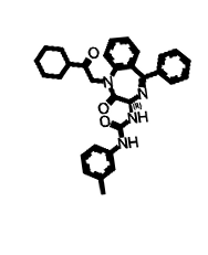 Cc1cccc(NC(=O)N[C@@H]2N=C(c3ccccc3)c3ccccc3N(CC(=O)C3CCCCC3)C2=O)c1